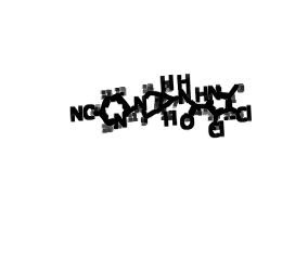 Cc1[nH]c(C(=O)NC2[C@H]3CN(c4ccc(C#N)cn4)C[C@@H]23)c(Cl)c1Cl